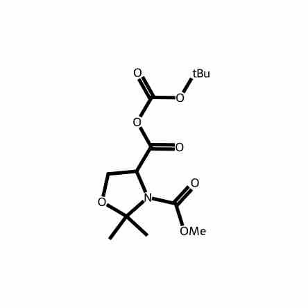 COC(=O)N1C(C(=O)OC(=O)OC(C)(C)C)COC1(C)C